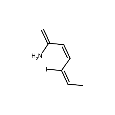 C=C(N)/C=C\C(I)=C/C